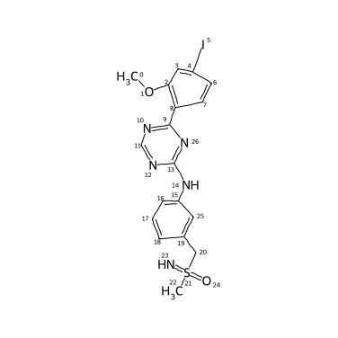 COc1cc(I)ccc1-c1ncnc(Nc2cccc(CS(C)(=N)=O)c2)n1